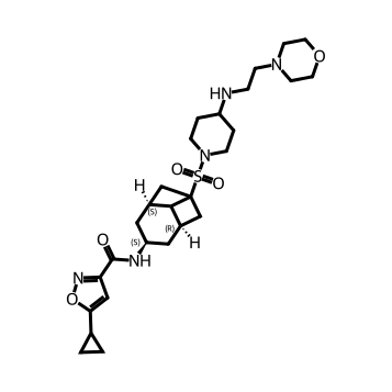 O=C(N[C@@H]1C[C@@H]2CC3(S(=O)(=O)N4CCC(NCCN5CCOCC5)CC4)C[C@H](C1)C23)c1cc(C2CC2)on1